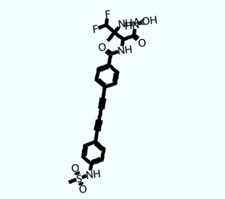 CC(=O)NC(C)(C(F)F)C(NC(=O)c1ccc(C#CC#Cc2ccc(NS(C)(=O)=O)cc2)cc1)C(=O)NO